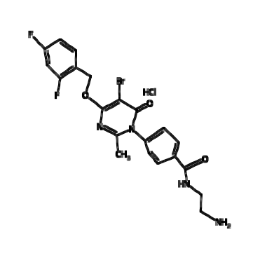 Cc1nc(OCc2ccc(F)cc2F)c(Br)c(=O)n1-c1ccc(C(=O)NCCN)cc1.Cl